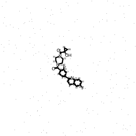 O=C(c1ccc(-c2ccc3cc(F)ccc3n2)cc1F)N1CCN(C(=O)C2(O)CC2)CC1